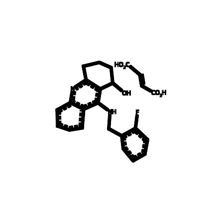 O=C(O)C=CC(=O)O.OC1CCCc2nc3ccccc3c(NCc3ccccc3F)c21